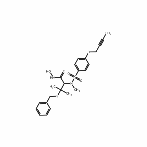 CC#CCOc1ccc(S(=O)(=O)N(C)C(C(=O)NO)C(C)(C)SCc2ccccc2)cc1